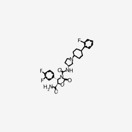 NC(=O)[C@@H]1OC(=O)N(C(=O)N[C@@H]2CCN(C3CCC(c4ccccc4F)CC3)C2)[C@H]1c1ccc(F)c(F)c1